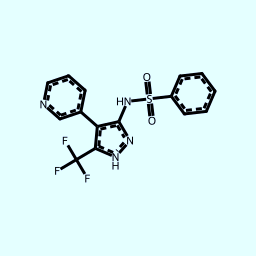 O=S(=O)(Nc1n[nH]c(C(F)(F)F)c1-c1cccnc1)c1ccccc1